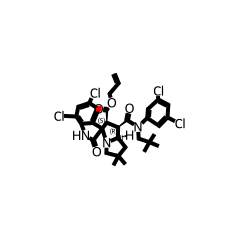 C=CCOC(=O)[C@H]1[C@@H](C(=O)N(CC(C)(C)C)c2cc(Cl)cc(Cl)c2)[C@H]2CC(C)(C)CN2C12C(=O)Nc1c(Cl)cc(Cl)cc12